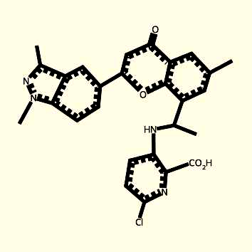 Cc1cc(C(C)Nc2ccc(Cl)nc2C(=O)O)c2oc(-c3ccc4c(c3)c(C)nn4C)cc(=O)c2c1